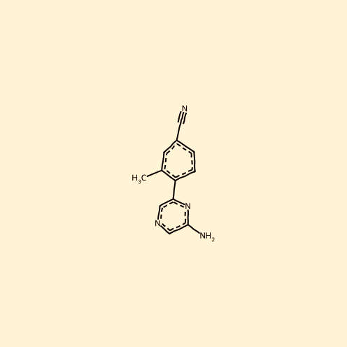 Cc1cc(C#N)ccc1-c1cncc(N)n1